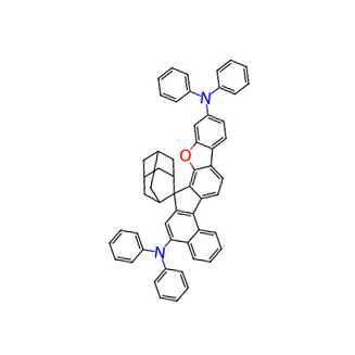 c1ccc(N(c2ccccc2)c2ccc3c(c2)oc2c4c(ccc23)-c2c(cc(N(c3ccccc3)c3ccccc3)c3ccccc23)C42C3CC4CC(C3)CC2C4)cc1